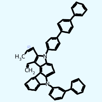 C=Cc1c(/C=C\C)n(-c2ccc(-c3ccc(-c4ccccc4)cc3)cc2)c2ccc3c(c4ccccc4n3-c3cccc(-c4ccccc4)c3)c12